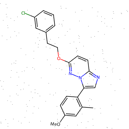 COc1ccc(-c2cnc3ccc(OCCc4cccc(Cl)c4)nn23)c(C)c1